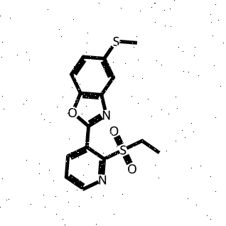 CCS(=O)(=O)c1ncccc1-c1nc2cc(SC)ccc2o1